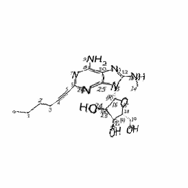 CCCCC#Cc1nc(N)c2nc(NC)n([C@@H]3O[C@H](CO)[C@@H](O)[C@H]3O)c2n1